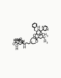 CC(C)CC(NC(=O)[C@@H](Cc1ccccc1)NC(=O)c1cnccn1)B1OCCN(CCNC(=O)CC(O)(C(=O)O)P(=O)(O)O)CCO1